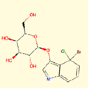 OC[C@H]1O[C@@H](OC2=C3C(=CC=CC3(Cl)Br)N=C2)[C@H](O)[C@@H](O)[C@H]1O